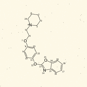 [CH]1CCCN(CCOc2ccc(Oc3nc4ccccc4o3)cc2)C1